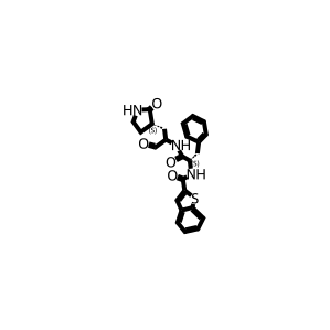 O=CC(C[C@@H]1CCNC1=O)NC(=O)[C@H](Cc1ccccc1)NC(=O)c1cc2ccccc2s1